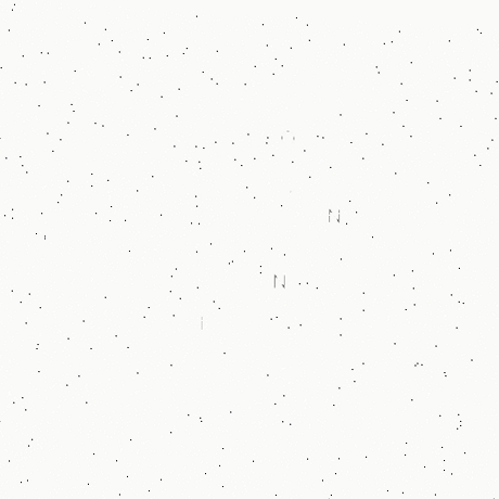 CCCC(F)N1CN(C)C(=O)C1Cc1ccccc1